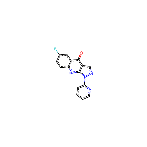 O=c1c2cc(F)ccc2[nH]c2c1cnn2-c1ccccn1